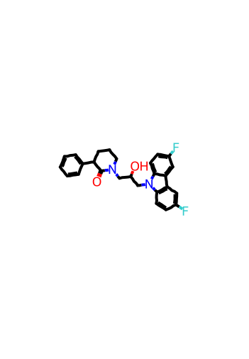 O=C1C(c2ccccc2)CCCN1CC(O)Cn1c2ccc(F)cc2c2cc(F)ccc21